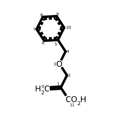 C=C(COCc1ccccc1)C(=O)O